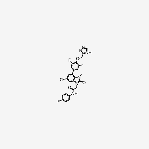 Cc1cc(-c2cc(Cl)cc3c2n(C)c(=O)n3CC(=O)Nc2ccc(F)cc2)cc(F)c1OCc1nnc[nH]1